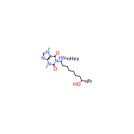 CCCCCCNC(CCCCCCC(O)CCC)n1c(=O)c2c(ncn2C)n(C)c1=O